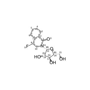 O=c1c2ccccc2c(F)cn1[C@@H]1O[C@H](CO)[C@@H](O)[C@@H]1O